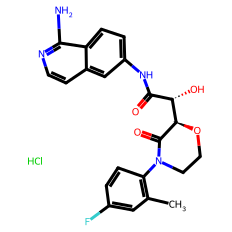 Cc1cc(F)ccc1N1CCO[C@H]([C@@H](O)C(=O)Nc2ccc3c(N)nccc3c2)C1=O.Cl